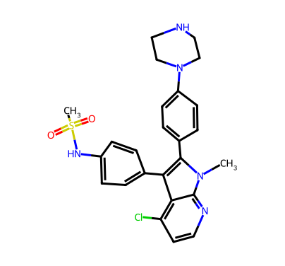 Cn1c(-c2ccc(N3CCNCC3)cc2)c(-c2ccc(NS(C)(=O)=O)cc2)c2c(Cl)ccnc21